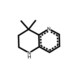 CC1(C)CCNc2cccnc21